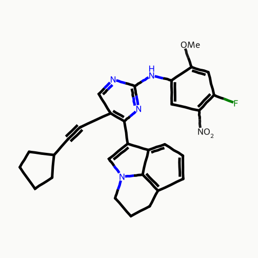 COc1cc(F)c([N+](=O)[O-])cc1Nc1ncc(C#CC2CCCC2)c(-c2cn3c4c(cccc24)CCC3)n1